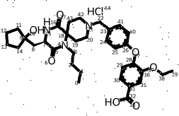 CCCCN1C(=O)[C@@H](CC2(O)CCCC2)NC(=O)C12CCN(Cc1ccc(Oc3ccc(C(=O)O)cc3OCC)cc1)CC2.Cl